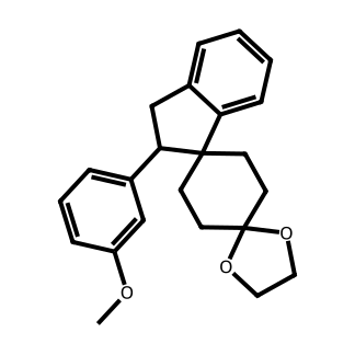 COc1cccc(C2Cc3ccccc3C23CCC2(CC3)OCCO2)c1